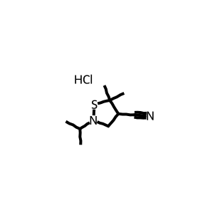 CC(C)N1CC(C#N)C(C)(C)S1.Cl